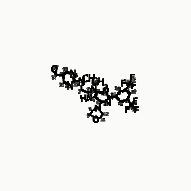 CN(CC1Nc2c(N3CCOCC3)nc(-c3cc(C(F)(F)F)cc(C(F)(F)F)c3)nc2N1C)c1ncc(C=O)cn1